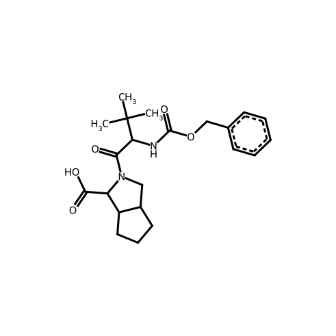 CC(C)(C)C(NC(=O)OCc1ccccc1)C(=O)N1CC2CCCC2C1C(=O)O